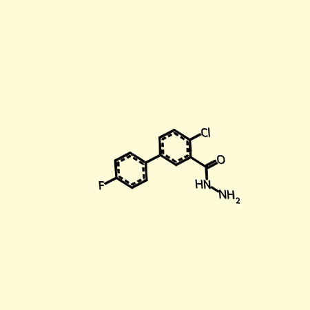 NNC(=O)c1cc(-c2ccc(F)cc2)ccc1Cl